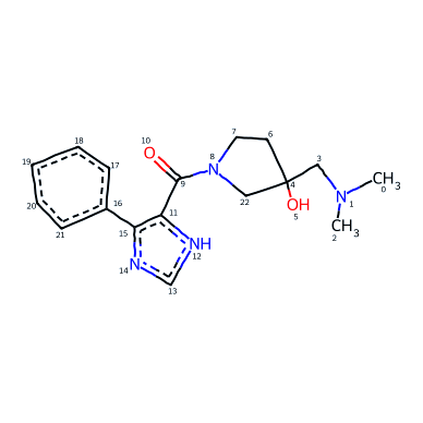 CN(C)CC1(O)CCN(C(=O)c2[nH]cnc2-c2ccccc2)C1